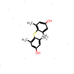 Cc1cc(O)cc(C)c1Sc1c(C)cc(O)cc1C